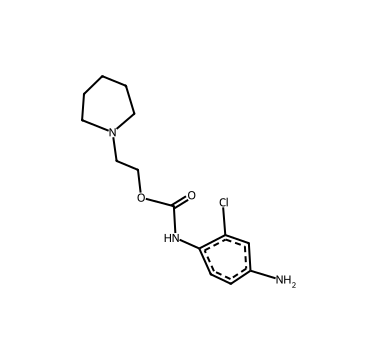 Nc1ccc(NC(=O)OCCN2CCCCC2)c(Cl)c1